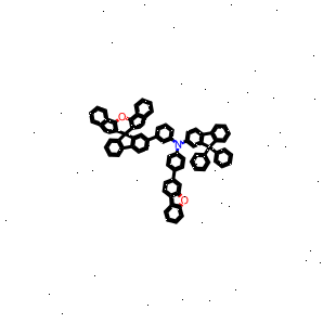 c1ccc(C2(c3ccccc3)c3ccccc3-c3ccc(N(c4ccc(-c5ccc6c(c5)oc5ccccc56)cc4)c4cccc(-c5ccc6c(c5)C5(c7ccccc7-6)c6ccc7ccccc7c6Oc6c5ccc5ccccc65)c4)cc32)cc1